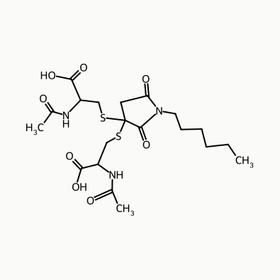 CCCCCCN1C(=O)CC(SCC(NC(C)=O)C(=O)O)(SCC(NC(C)=O)C(=O)O)C1=O